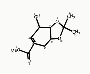 COC(=O)C1=CC(O)C2OC(C)(C)OC2C1